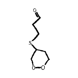 O=CCCSC1CCOOC1